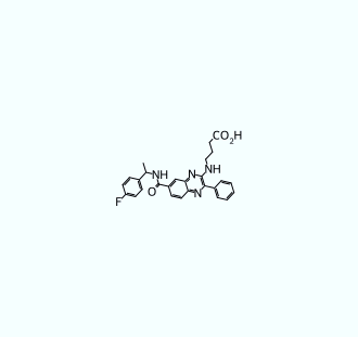 CC(NC(=O)c1ccc2nc(-c3ccccc3)c(NCCCC(=O)O)nc2c1)c1ccc(F)cc1